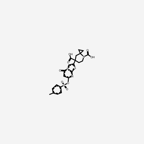 Cc1ccc(S(=O)(=O)Oc2cc(=O)n3cc(C4(C(=O)O)CCN(C(=O)O)C5(CC5)C4)sc3n2)cc1